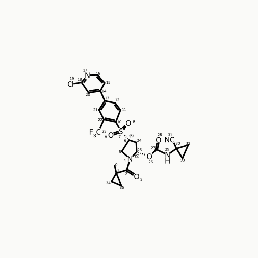 CC1(C(=O)N2C[C@H](S(=O)(=O)c3ccc(-c4ccnc(Cl)c4)cc3C(F)(F)F)C[C@@H]2OC(=O)NC2(C#N)CC2)CC1